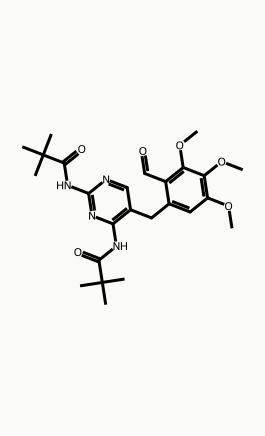 COc1cc(Cc2cnc(NC(=O)C(C)(C)C)nc2NC(=O)C(C)(C)C)c(C=O)c(OC)c1OC